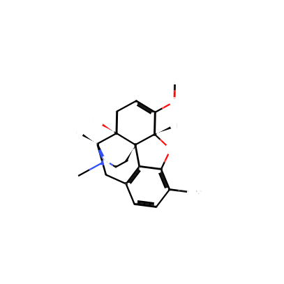 COc1ccc2c3c1O[C@H]1C(OC=O)=CC[C@@]4(O)[C@@H](C2)N(C)CC[C@]314